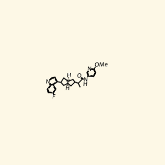 COc1ccc(NC(=O)C(C)C2C[C@H]3CC(c4ccnc5ccc(F)cc45)C[C@H]3C2)cn1